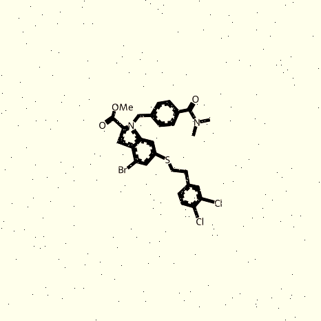 COC(=O)c1cc2c(Br)cc(SCCc3ccc(Cl)c(Cl)c3)cc2n1Cc1ccc(C(=O)N(C)C)cc1